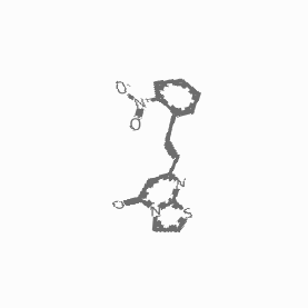 O=c1cc(/C=C/c2ccccc2[N+](=O)[O-])nc2sccn12